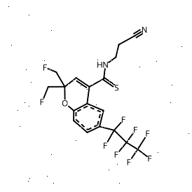 N#CCCNC(=S)C1=CC(CF)(CF)Oc2ccc(C(F)(F)C(F)(F)C(F)(F)F)cc21